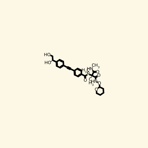 CNC(=O)[C@@](C)(C(=O)NOC1CCCCO1)N(C)C(=O)c1ccc(C#Cc2ccc([C@H](O)CO)cc2)cc1